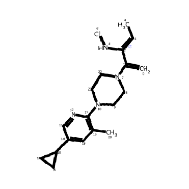 C=C(/C(=C/C)NCl)N1CCN(c2ncc(C3CC3)cc2C)CC1